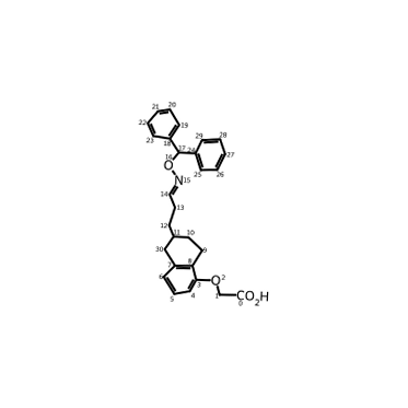 O=C(O)COc1cccc2c1CCC(CCC=NOC(c1ccccc1)c1ccccc1)C2